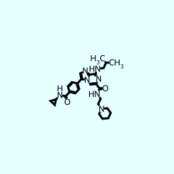 CC(C)CNc1nc(C(=O)NCCN2CCCCC2)cn2c(-c3ccc(C(=O)NC4CC4)cc3)cnc12